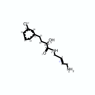 NC/C=C/CNC(=O)[C@H](O)CCc1cccc(Cl)c1